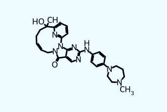 CN1CCCN(c2ccc(Nc3ncc4c(=O)n5n(c4n3)-c3cccc(n3)C(C)(O)CC/C=C\C5)cc2)CC1